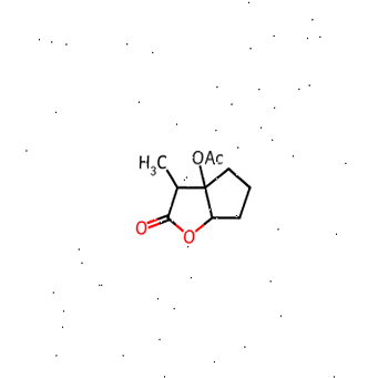 CC(=O)OC12CCCC1OC(=O)C2C